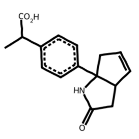 CC(C(=O)O)c1ccc(C23CC=CC2CC(=O)N3)cc1